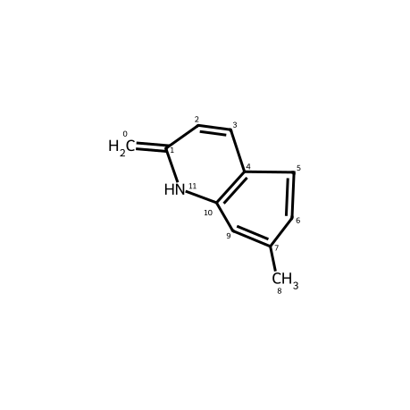 C=C1C=Cc2ccc(C)cc2N1